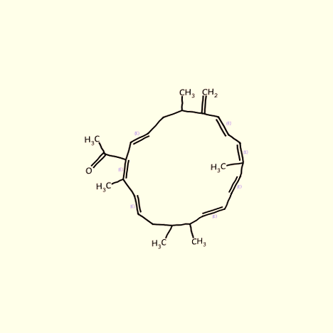 C=C1/C=C/C=C(C)/C=C/C=C/C(C)C(C)C/C=C/C(C)=C(C(C)=O)\C=C\CC1C